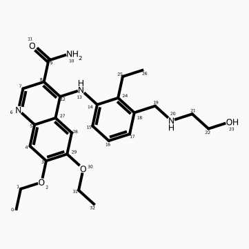 CCOc1cc2ncc(C(N)=O)c(Nc3cccc(CNCCO)c3CC)c2cc1OCC